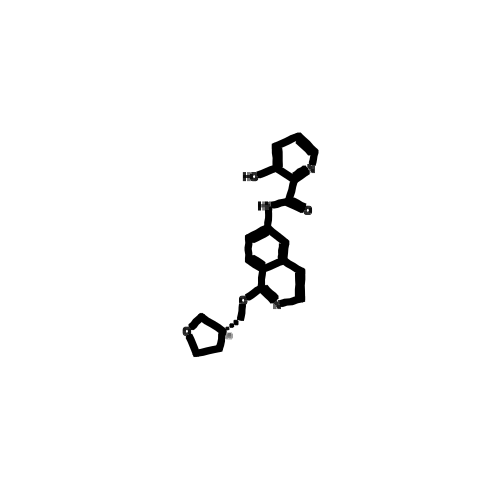 O=C(Nc1ccc2c(OC[C@@H]3CCOC3)nccc2c1)c1ncccc1O